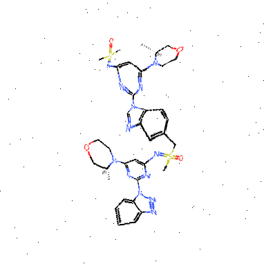 C[C@@H]1COCCN1c1cc(N=S(C)(C)=O)nc(-n2cnc3cc(CS(C)(=O)=Nc4cc(N5CCOC[C@H]5C)nc(-n5nnc6ccccc65)n4)ccc32)n1